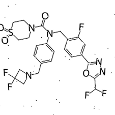 O=C(N1CCS(=O)(=O)CC1)N(Cc1ccc(-c2nnc(C(F)F)o2)cc1F)c1ccc(CN2CC(F)(F)C2)cc1